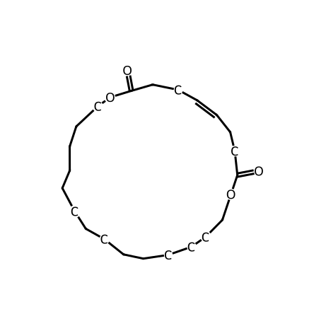 O=C1CCC=CCCC(=O)OCCCCCCCCCCCCCCO1